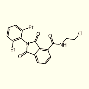 CCc1cccc(CC)c1N1C(=O)c2cccc(C(=O)NCCCl)c2C1=O